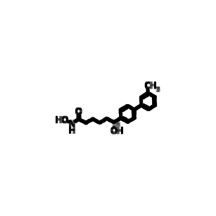 Cc1cccc(-c2ccc([C@H](O)CCCCC(=O)NO)cc2)c1